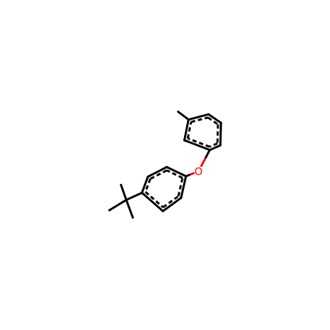 Cc1cccc(Oc2ccc(C(C)(C)C)cc2)c1